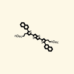 CCCCCCCCCCCCc1cc(-c2cc3sc(-c4cc(CCCCCCCCCCCC)c(-c5ccc6ccccc6c5)s4)cc3s2)sc1-c1ccc2ccccc2c1